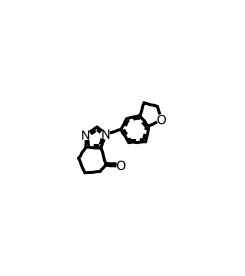 O=C1CCCc2ncn(-c3ccc4c(c3)CCO4)c21